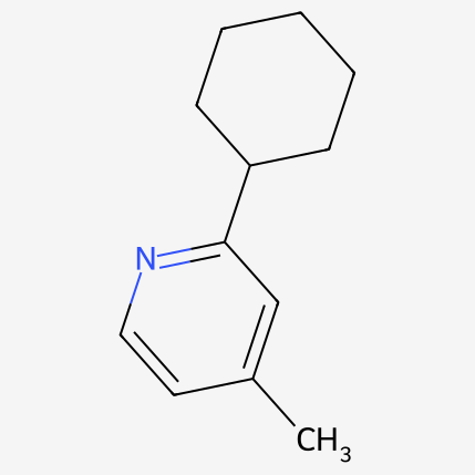 Cc1ccnc(C2CCCCC2)c1